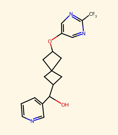 OC(c1cccnc1)C1CC2(CC(Oc3cnc(C(F)(F)F)nc3)C2)C1